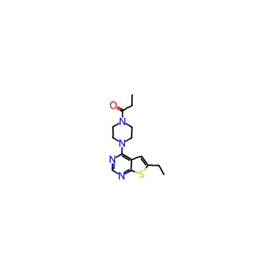 CCC(=O)N1CCN(c2ncnc3sc(CC)cc23)CC1